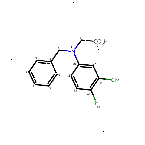 O=C(O)CN(Cc1ccccc1)c1ccc(F)c(Cl)c1